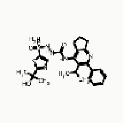 CC(C)c1c(-c2ccccc2)nc2c(c1NC(=O)/N=N/[SH](N)(=O)c1cnc(C(C)(C)O)s1)CCC2